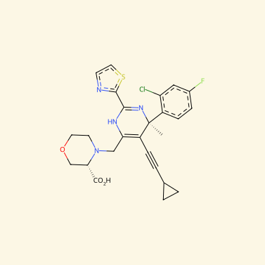 C[C@@]1(c2ccc(F)cc2Cl)N=C(c2nccs2)NC(CN2CCOC[C@H]2C(=O)O)=C1C#CC1CC1